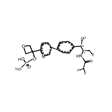 O=C(N[C@H](CF)[C@H](O)c1ccc(-c2ccc(C3(OP(=O)(O)O)COC3)nc2)cc1)C(F)F